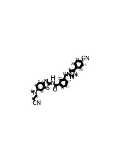 CN(CCC#N)C1CCc2nc(NC(=O)c3cccc(Cn4cc(-c5ccc(C#N)cc5)nn4)c3)sc2C1